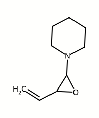 C=CC1OC1N1CCCCC1